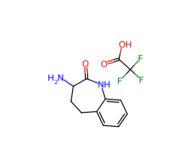 NC1CCc2ccccc2NC1=O.O=C(O)C(F)(F)F